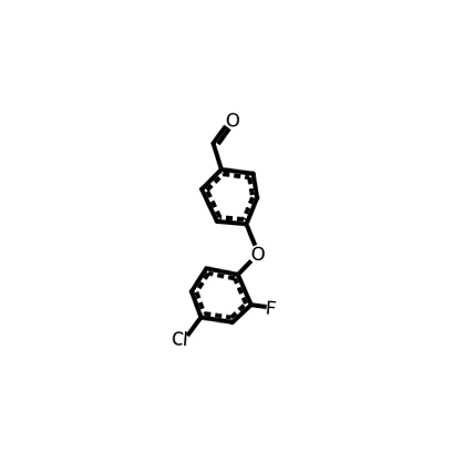 O=Cc1ccc(Oc2ccc(Cl)cc2F)cc1